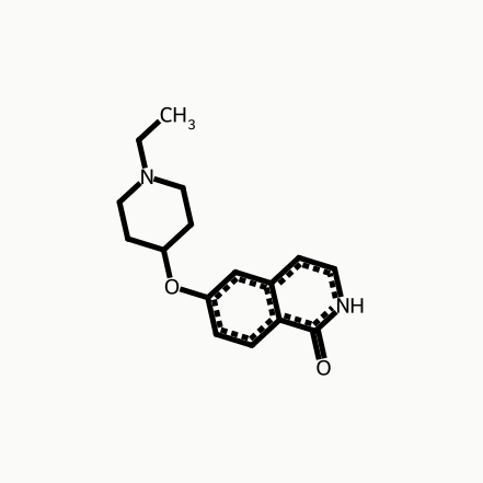 CCN1CCC(Oc2ccc3c(=O)[nH]ccc3c2)CC1